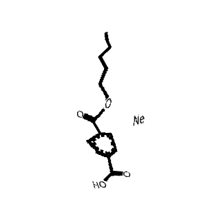 CCCCCOC(=O)c1ccc(C(=O)O)cc1.[Ne]